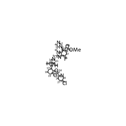 CCn1cncc1Cn1c(CN2C[C@@H]3[C@H](C2)[C@@H]3c2cccc3c2OC(C)(c2ccc(Cl)cn2)O3)nc2c(F)cc(C(=O)OC)cc21